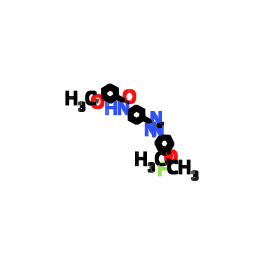 COc1cccc(C(=O)Nc2ccc(-c3ncn(-c4ccc(OC(C)(C)F)cc4)n3)cc2)c1